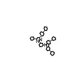 c1ccc(-c2ccc(-c3cc(-c4ccccc4)nc(-c4cccc(-n5c6ccc(-c7ccccc7)cc6c6cc(-c7ccccc7)ccc65)c4)n3)cc2)cc1